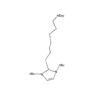 CCCCCCCCCCCCCCCCCC1N(CCCC)C=CN1CCCC